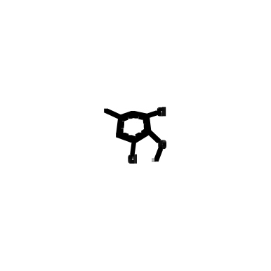 [CH2]Oc1c(Cl)cc(C)cc1Cl